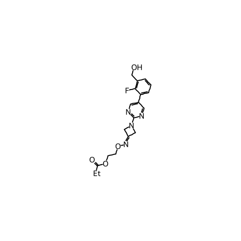 CCC(=O)OCCON=C1CN(c2ncc(-c3cccc(CO)c3F)cn2)C1